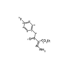 CCOC(=O)/C(=N\N)C(=O)Cc1ccc(F)cc1